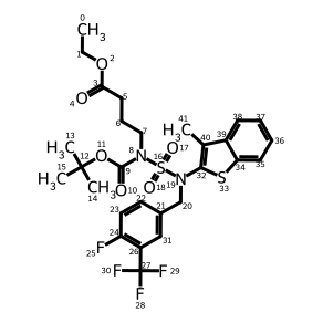 CCOC(=O)CCCN(C(=O)OC(C)(C)C)S(=O)(=O)N(Cc1ccc(F)c(C(F)(F)F)c1)c1sc2ccccc2c1C